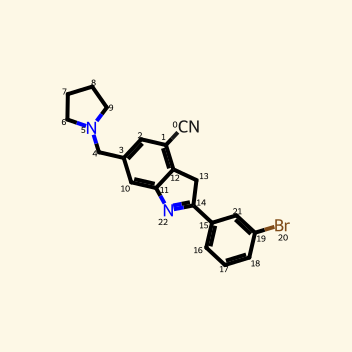 N#Cc1cc(CN2CCCC2)cc2c1CC(c1cccc(Br)c1)=N2